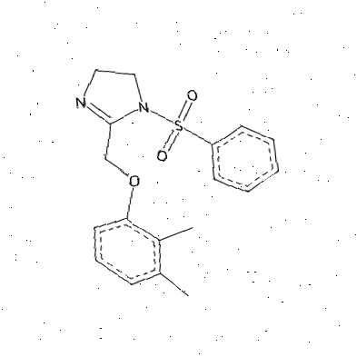 Cc1cccc(OCC2=NCCN2S(=O)(=O)c2ccccc2)c1C